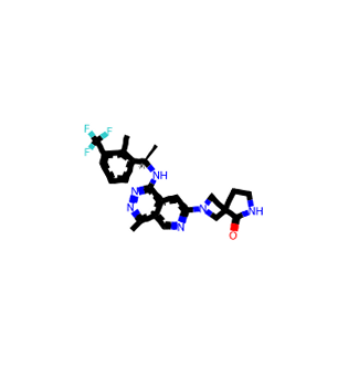 Cc1c([C@@H](C)Nc2nnc(C)c3cnc(N4CC5(CCNC5=O)C4)cc23)cccc1C(F)(F)F